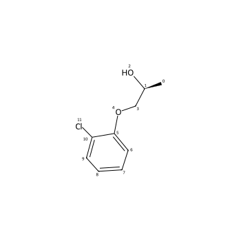 C[C@H](O)COc1ccccc1Cl